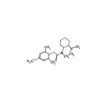 Cc1cc(C)c(CC(=O)N(C)C2CCCCC2N(C)C)c(C)c1